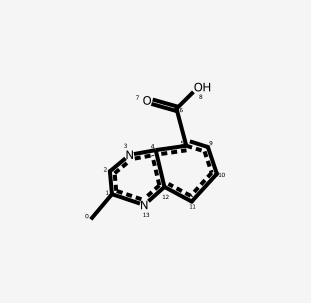 Cc1cnc2c(C(=O)O)cccc2n1